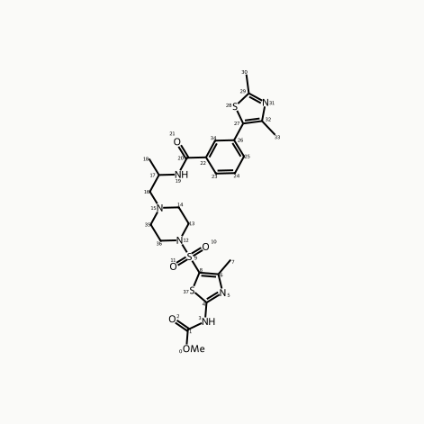 COC(=O)Nc1nc(C)c(S(=O)(=O)N2CCN(CC(C)NC(=O)c3cccc(-c4sc(C)nc4C)c3)CC2)s1